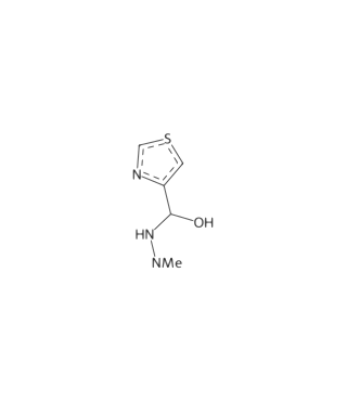 CNNC(O)c1cscn1